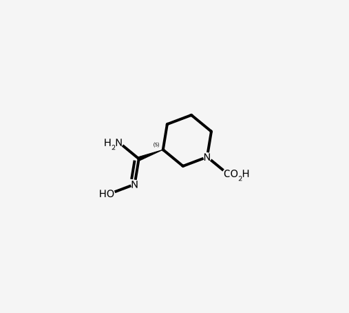 NC(=NO)[C@H]1CCCN(C(=O)O)C1